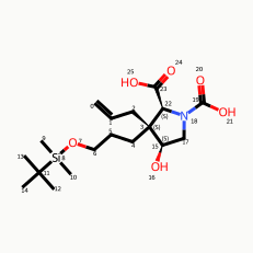 C=CC[C@]1(CCCO[Si](C)(C)C(C)(C)C)[C@H](O)CN(C(=O)O)[C@@H]1C(=O)O